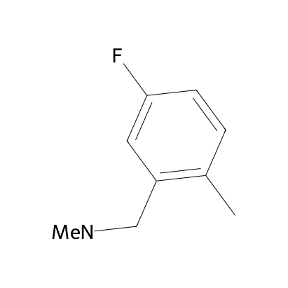 CNCc1cc(F)ccc1C